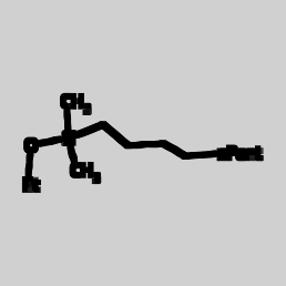 CCCCCCCCC[Si](C)(C)OCC